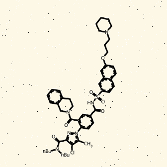 CCCCN(CCCC)C(=O)c1nn(-c2ccc(C(=O)NS(=O)(=O)c3ccc4ccc(OCCCN5CCCCC5)cc4c3)cc2C(=O)N2CCc3ccccc3C2)c(C)c1Cl